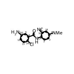 CNc1ccc(NC(=O)c2cc(N)ccc2Cl)c(C#N)c1